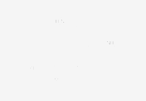 NCc1ccc(C(=O)CCl)cc1CN